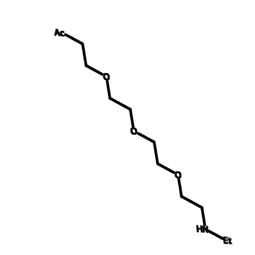 CCNCCOCCOCCOCCC(C)=O